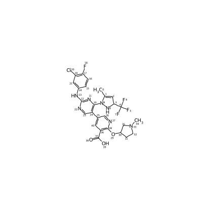 CC1=CC(C(F)(F)F)NN1c1nc(Nc2ccc(F)c(Cl)c2)ncc1-c1cnc(OC2CCN(C)C2)c(C(=O)O)c1